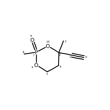 C#CC1(C)CCOP(C)(=O)O1